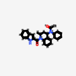 CCC(=O)N(c1ccccc1)C1CC(C)N(C(=O)c2cc3ccccc3[nH]2)c2ccccc21